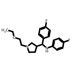 CCOCCN1CCC(C(Nc2ccc(F)cc2)c2ccc(F)cc2)C1